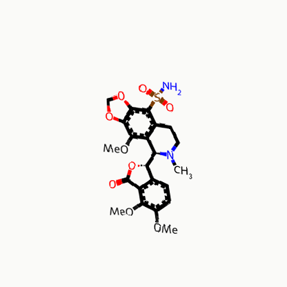 COc1ccc2c(c1OC)C(=O)O[C@@H]2[C@H]1c2c(c(S(N)(=O)=O)c3c(c2OC)OCO3)CCN1C